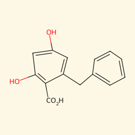 O=C(O)c1c(O)cc(O)cc1Cc1ccccc1